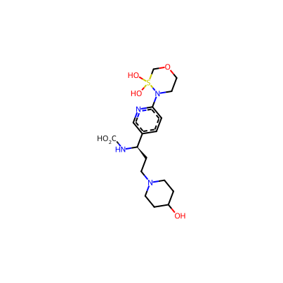 O=C(O)N[C@H](CCN1CCC(O)CC1)c1ccc(N2CCOCS2(O)O)nc1